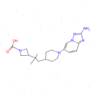 CC(C)(CC1CCN(c2ccc3nc(N)nn3c2)CC1)C1CN(C(=O)O)C1